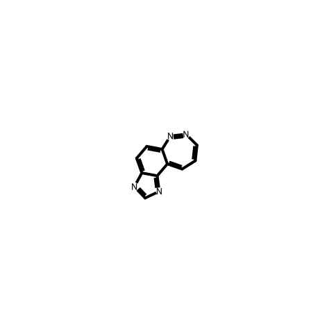 c1cnnc2ccc3ncnc3c2c1